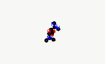 c1ccc(-c2cc(-c3ccccc3)nc(-c3ccc4c(c3)C3(c5cc(-c6cc(-c7ccccn7)nc(-c7ccccn7)c6)ccc5O4)c4ccccc4-c4ccccc43)n2)cc1